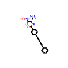 NC[C@H](NC(=O)c1ccc(C#CC#Cc2ccccc2)cc1)C(=O)NO